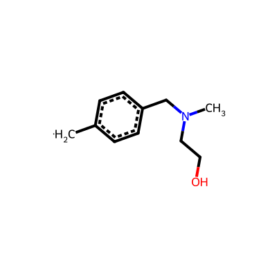 [CH2]c1ccc(CN(C)CCO)cc1